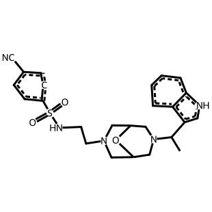 CC(c1c[nH]c2ccccc12)N1CC2CN(CCNS(=O)(=O)c3ccc(C#N)cc3)CC(C1)O2